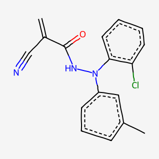 C=C(C#N)C(=O)NN(c1cccc(C)c1)c1ccccc1Cl